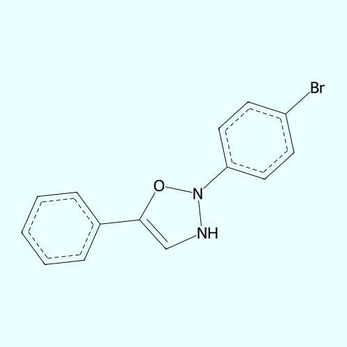 Brc1ccc(N2NC=C(c3ccccc3)O2)cc1